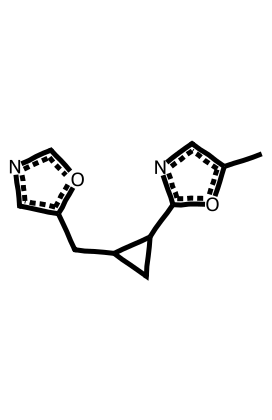 Cc1cnc(C2CC2Cc2cnco2)o1